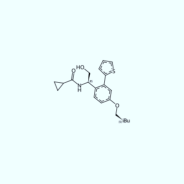 CC[C@H](C)COc1ccc([C@H](CO)NC(=O)C2CC2)c(-c2cccs2)c1